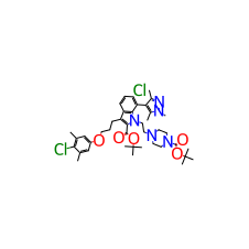 Cc1cc(OCCCc2c(C(=O)OC(C)(C)C)n(CCN3CCN(C(=O)OC(C)(C)C)CC3)c3c(-c4c(C)nn(C)c4C)c(Cl)ccc23)cc(C)c1Cl